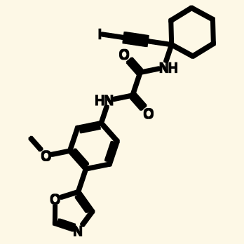 COc1cc(NC(=O)C(=O)NC2(C#CI)CCCCC2)ccc1-c1cnco1